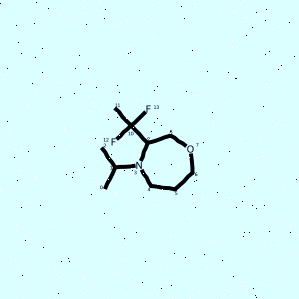 CC(C)N1CCCOCC1C(C)(F)F